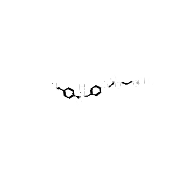 COCCCOC(=O)COc1ccc(CNC(=O)c2ccc(C#N)cc2)cc1